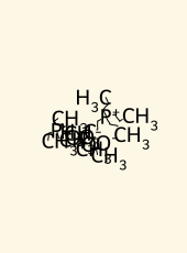 CC(=O)[O-].CC(=O)[O-].CCC[P+](CCC)(CCC)CCC.CC[P+](CC)(CC)CC